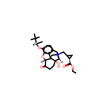 CCOC(=O)[C@@H]1CC1CN1CC[C@]23c4c5ccc(O[Si](C)(C)C(C)(C)C)c4O[C@H]2C(=O)CC[C@@]3(O)[C@H]1C5